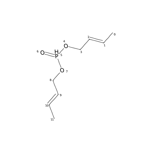 CC=CCO[PH](=O)OCC=CC